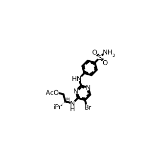 CC(=O)OC[C@H](Nc1nc(Nc2ccc(S(N)(=O)=O)cc2)ncc1Br)C(C)C